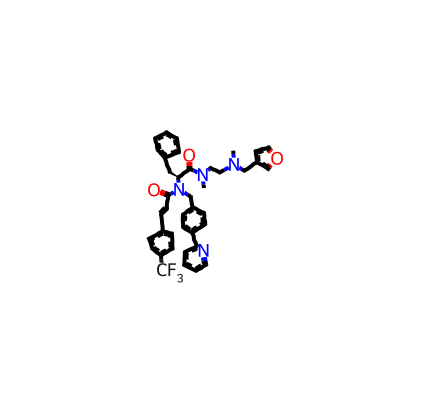 CN(CCN(C)C(=O)[C@H](Cc1ccccc1)N(Cc1ccc(-c2ccccn2)cc1)C(=O)/C=C/c1ccc(C(F)(F)F)cc1)Cc1ccoc1